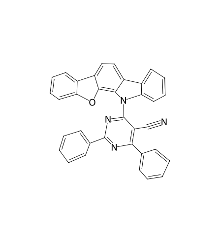 N#Cc1c(-c2ccccc2)nc(-c2ccccc2)nc1-n1c2ccccc2c2ccc3c4ccccc4oc3c21